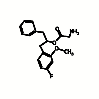 COc1cc(F)ccc1CC(Cc1ccccc1)OC(=O)CN